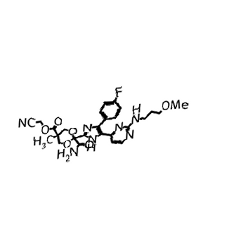 COCCCNc1nccc(-c2[nH]c(C3(C(N)=O)OCC(C)(C(=O)OCC#N)CO3)nc2-c2ccc(F)cc2)n1